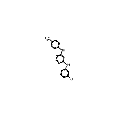 FC(F)(F)c1ccc(Nc2ncnc(Nc3cccc(Cl)c3)n2)cc1